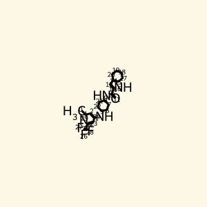 Cc1cc(N[C@H]2CC[C@@H](NC(=O)c3cc4c([nH]3)CCCC4)CC2)cc(C(F)(F)F)n1